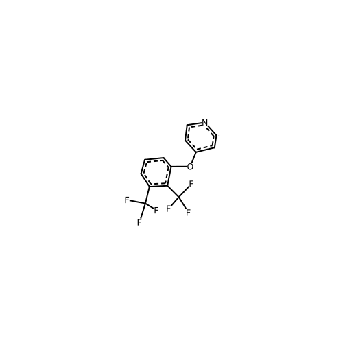 FC(F)(F)c1cccc(Oc2c[c]ncc2)c1C(F)(F)F